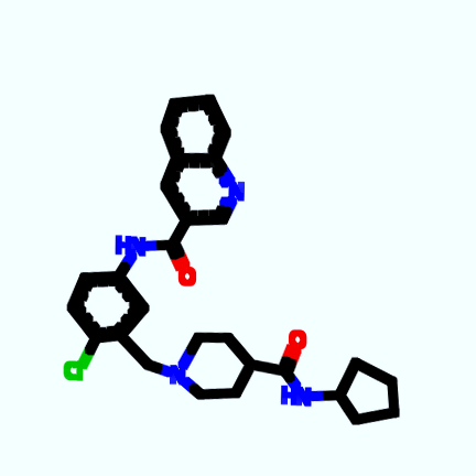 O=C(Nc1ccc(Cl)c(CN2CCC(C(=O)NC3CCCC3)CC2)c1)c1cnc2ccccc2c1